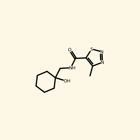 Cc1nnsc1C(=O)NCC1(O)CCCCC1